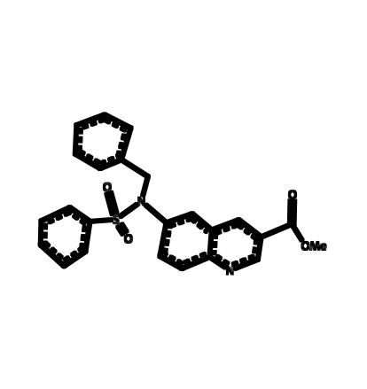 COC(=O)c1cnc2ccc(N(Cc3ccccc3)S(=O)(=O)c3ccccc3)cc2c1